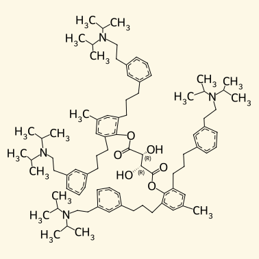 Cc1cc(CCCc2cccc(CCN(C(C)C)C(C)C)c2)c(OC(=O)[C@H](O)[C@@H](O)C(=O)Oc2c(CCCc3cccc(CCN(C(C)C)C(C)C)c3)cc(C)cc2CCCc2cccc(CCN(C(C)C)C(C)C)c2)c(CCCc2cccc(CCN(C(C)C)C(C)C)c2)c1